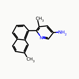 Cc1ccc2cccc(-c3ncc(N)cc3C)c2c1